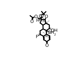 B[C@]12C(C[C@H](F)C3=CC(=O)C=C[C@@]31C)C1C[C@H]3OC(C)(C)O[C@@]3(C(=O)COC(C)=O)[C@@]1(C)C[C@@H]2O